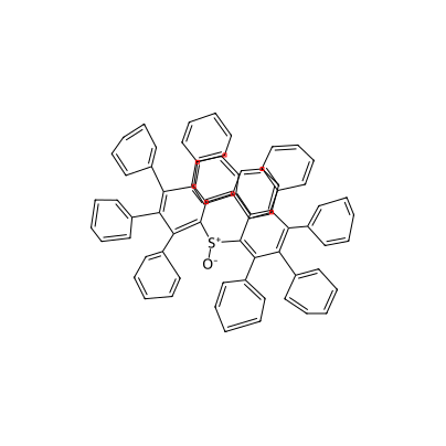 [O-][S+](c1c(-c2ccccc2)c(-c2ccccc2)c(-c2ccccc2)c(-c2ccccc2)c1-c1ccccc1)c1c(-c2ccccc2)c(-c2ccccc2)c(-c2ccccc2)c(-c2ccccc2)c1-c1ccccc1